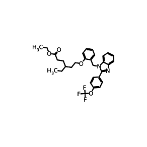 CCOC(=O)CCC(CC)CCOc1ccccc1Cn1c(-c2ccc(OC(F)(F)F)cc2)nc2ccccc21